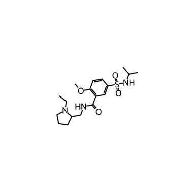 CCN1CCCC1CNC(=O)c1cc(S(=O)(=O)NC(C)C)ccc1OC